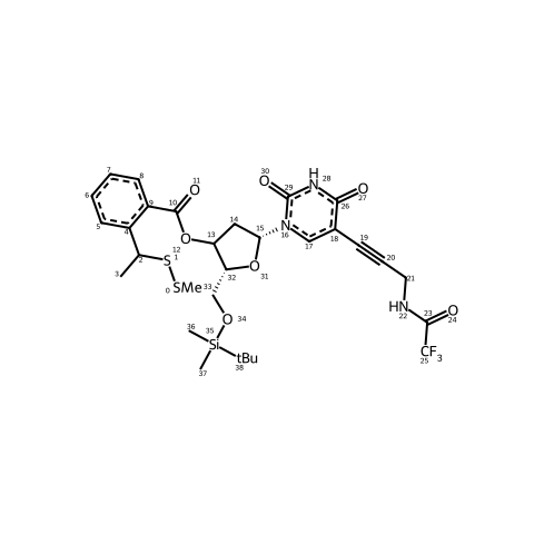 CSSC(C)c1ccccc1C(=O)OC1C[C@H](n2cc(C#CCNC(=O)C(F)(F)F)c(=O)[nH]c2=O)O[C@@H]1CO[Si](C)(C)C(C)(C)C